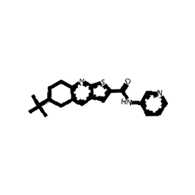 CC(C)(C)C1CCc2nc3sc(C(=O)Nc4cccnc4)cc3cc2C1